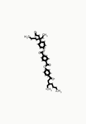 CCCCC(CC)CC(=O)c1ccc(OC(=O)c2ccc(C(=O)Oc3ccc(C(CC)(CC=O)CCCC)cc3)cc2)cc1